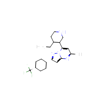 CCC1CCNCC1c1cc(C)nc2cc([C@H]3CC[C@H](C(F)(F)F)CC3)nn12